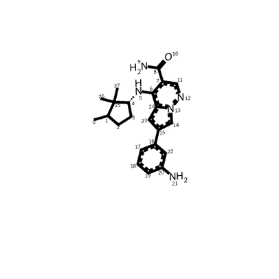 CC1CC[C@@H](Nc2c(C(N)=O)cnn3cc(-c4cccc(N)c4)cc23)C1(C)C